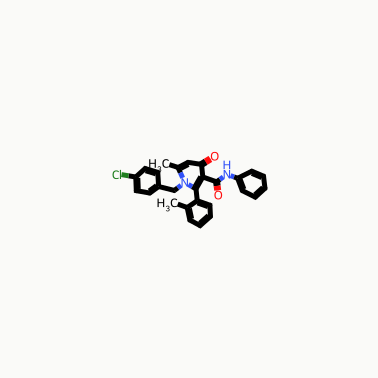 Cc1ccccc1-c1c(C(=O)Nc2ccccc2)c(=O)cc(C)n1Cc1ccc(Cl)cc1